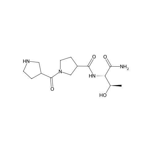 C[C@@H](O)[C@H](NC(=O)C1CCN(C(=O)C2CCNC2)C1)C(N)=O